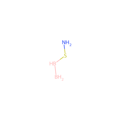 BBSN